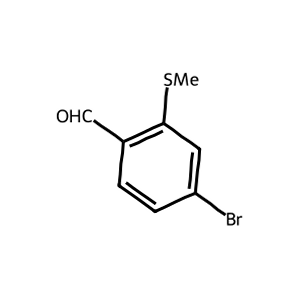 CSc1cc(Br)ccc1C=O